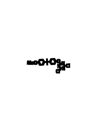 COc1ccc(C(C)(C)c2ccc(Oc3nc(Cl)nc(Cl)n3)cc2)cc1